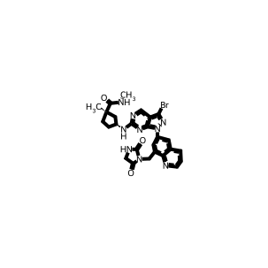 CNC(=O)[C@]1(C)CC[C@@H](Nc2ncc3c(Br)nn(-c4cc(CN5C(=O)CNC5=O)c5ncccc5c4)c3n2)C1